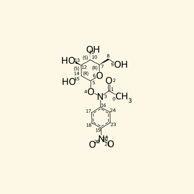 CC(=O)N(OC1O[C@H](CO)[C@@H](O)[C@H](O)[C@H]1O)c1ccc([N+](=O)[O-])cc1